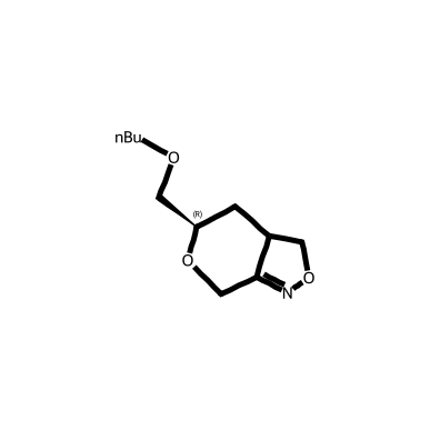 CCCCOC[C@H]1CC2CON=C2CO1